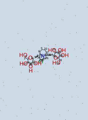 OC[C@H]1O[C@H](C#CC23CCCCC4(C#C[C@H]5O[C@H](CO)[C@@H](O)[C@H](O)[C@@H]5O)CC(Cl)(CC2)N34)[C@@H](O)[C@@H](O)[C@@H]1O